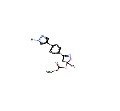 CCn1cc(-c2ccc(C3=NOC(OC(=O)COC)(C(F)(F)F)C3)cc2)cn1